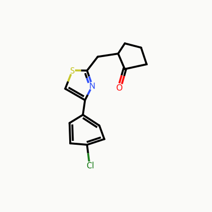 O=C1CCCC1Cc1nc(-c2ccc(Cl)cc2)cs1